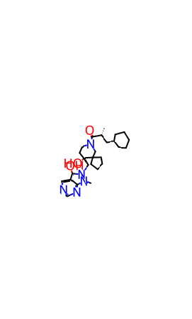 C[C@H](CC1CCCCC1)C(=O)N1CCC(O)(CN2C(O)c3cncnc3N2C)C2(CCCC2)C1